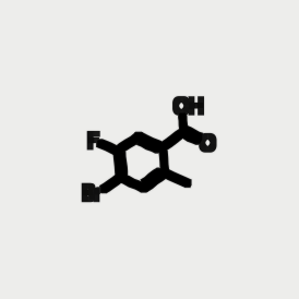 Cc1cc(Br)c(F)cc1C(=O)O